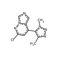 Cc1nnn(C)c1-c1cc(Cl)nn2cncc12